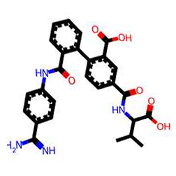 CC(C)C(NC(=O)c1ccc(-c2ccccc2C(=O)Nc2ccc(C(=N)N)cc2)c(C(=O)O)c1)C(=O)O